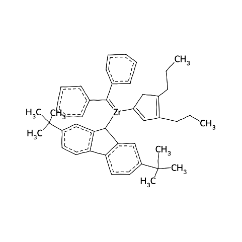 CCCC1=C(CCC)C[C]([Zr](=[C](c2ccccc2)c2ccccc2)[CH]2c3cc(C(C)(C)C)ccc3-c3ccc(C(C)(C)C)cc32)=C1